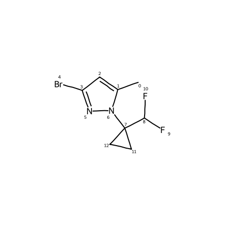 Cc1cc(Br)nn1C1(C(F)F)CC1